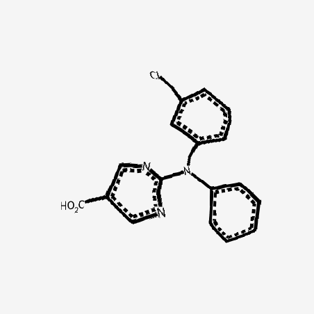 O=C(O)c1cnc(N(c2ccccc2)c2cccc(Cl)c2)nc1